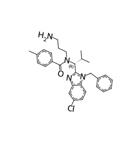 Cc1ccc(C(=O)N(CCCN)[C@@H](c2nc3cc(Cl)ccc3n2Cc2ccccc2)C(C)C)cc1